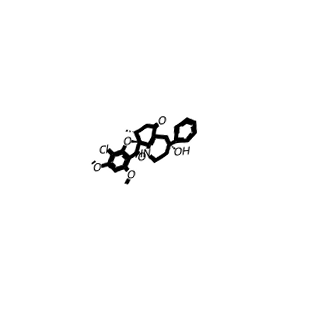 COc1cc(OC)c2c(c1Cl)O[C@]1(C2=O)C2=C(C[C@@](O)(c3ccccc3)CCN2)C(=O)C[C@H]1C